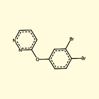 Brc1ccc(Oc2cc[c]nn2)cc1Br